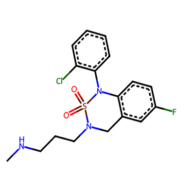 CNCCCN1Cc2cc(F)ccc2N(c2ccccc2Cl)S1(=O)=O